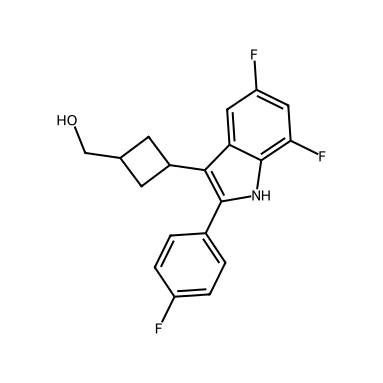 OCC1CC(c2c(-c3ccc(F)cc3)[nH]c3c(F)cc(F)cc23)C1